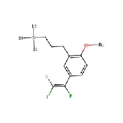 CCCCOc1ccc(C(F)=C(F)F)cc1CCC[Si](CC)(CC)CC